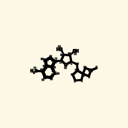 CN1CC2(CCCN2C[C@H]2O[C@@H](n3cnc4c(N)ncnc43)[C@H](O)[C@@H]2O)C1